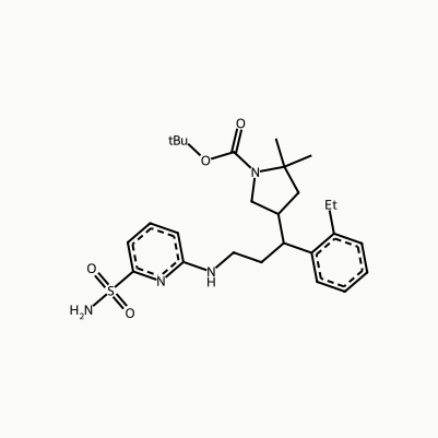 CCc1ccccc1C(CCNc1cccc(S(N)(=O)=O)n1)C1CN(C(=O)OC(C)(C)C)C(C)(C)C1